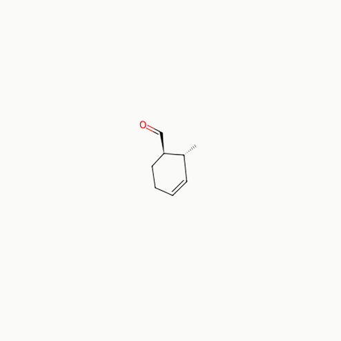 C[C@@H]1C=CCC[C@H]1C=O